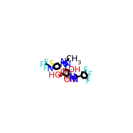 Cc1nc([C@@H]2O[C@H](CO)[C@H](O)[C@H](n3cc(-c4cc(F)c(F)c(F)c4)nn3)[C@H]2O)n(-c2ccc3nc(C(F)(F)F)sc3c2)n1